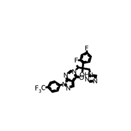 CC(n1cnc2c(cnn2-c2ccc(C(F)(F)F)cc2)c1=O)C(O)(Cn1cncn1)c1ccc(F)cc1F